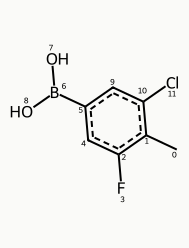 Cc1c(F)cc(B(O)O)cc1Cl